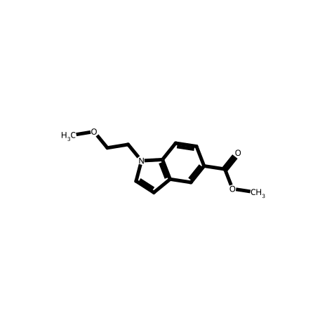 COCCn1ccc2cc(C(=O)OC)ccc21